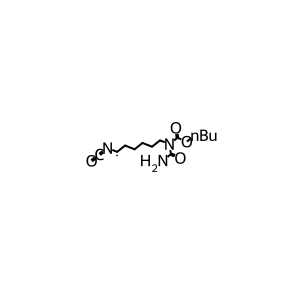 CCCCOC(=O)N(CCCCC[CH]N=C=O)C(N)=O